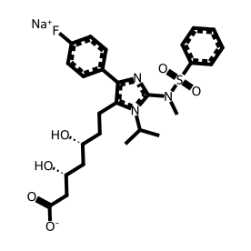 CC(C)n1c(N(C)S(=O)(=O)c2ccccc2)nc(-c2ccc(F)cc2)c1CC[C@@H](O)C[C@@H](O)CC(=O)[O-].[Na+]